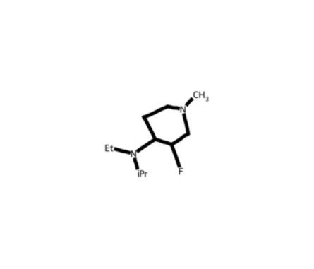 CCN(C(C)C)C1CCN(C)CC1F